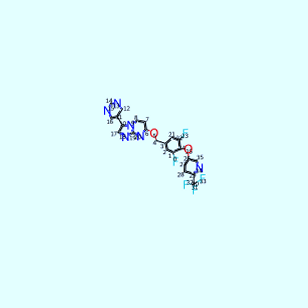 Fc1cc(COc2ccn3c(-c4cncnc4)cnc3n2)cc(F)c1Oc1ccc(C(F)(F)F)nc1